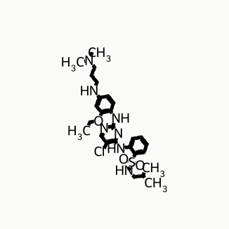 CCOc1cc(NCCCN(C)C)ccc1Nc1ncc(Cl)c(Nc2ccccc2S(=O)(=O)NCC(C)C)n1